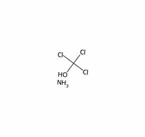 N.OC(Cl)(Cl)Cl